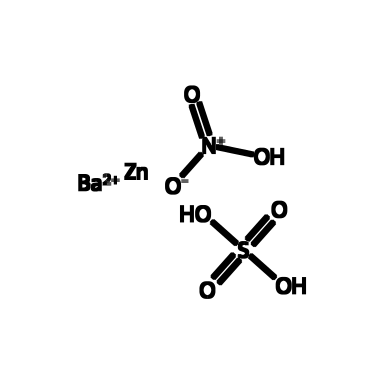 O=S(=O)(O)O.O=[N+]([O-])O.[Ba+2].[Zn]